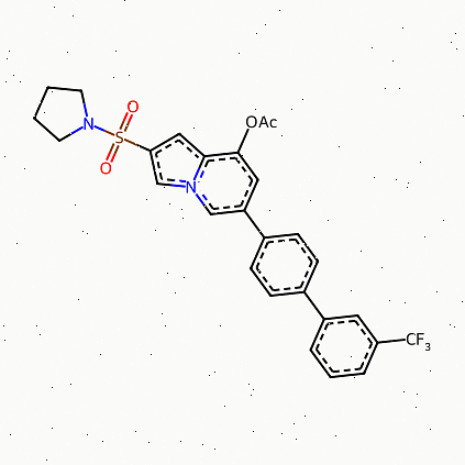 CC(=O)Oc1cc(-c2ccc(-c3cccc(C(F)(F)F)c3)cc2)cn2cc(S(=O)(=O)N3CCCC3)cc12